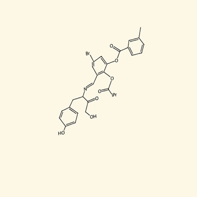 Cc1cccc(C(=O)Oc2cc(Br)cc(C=NC(Cc3ccc(O)cc3)C(=O)CO)c2OC(=O)C(C)C)c1